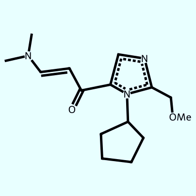 COCc1ncc(C(=O)C=CN(C)C)n1C1CCCC1